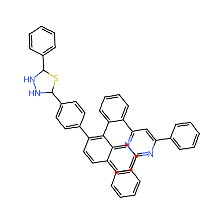 c1ccc(-c2cc(-c3ccccc3-c3c(-c4ccc(C5NNC(c6ccccc6)S5)cc4)ccc4ccccc34)nc(-c3ccccc3)n2)cc1